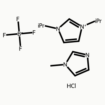 CC(C)n1cc[n+](C(C)C)c1.Cl.Cn1ccnc1.F[B-](F)(F)F